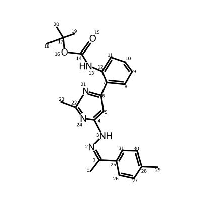 CC(=NNc1cc(-c2ccccc2NC(=O)OC(C)(C)C)nc(C)n1)c1ccc(C)cc1